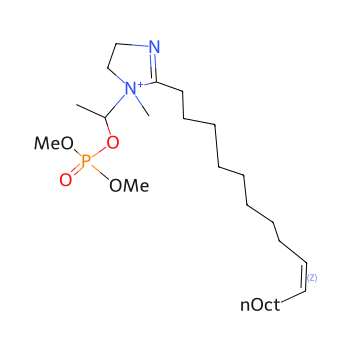 CCCCCCCC/C=C\CCCCCCCCC1=NCC[N+]1(C)C(C)OP(=O)(OC)OC